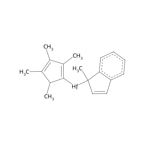 CC1=C(C)C(C)[C]([Hf][C]2(C)C=Cc3ccccc32)=C1C